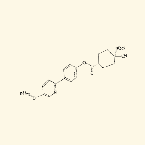 CCCCCCCC[C@]1(C#N)CC[C@H](C(=O)Oc2ccc(-c3ccc(OCCCCCC)cn3)cc2)CC1